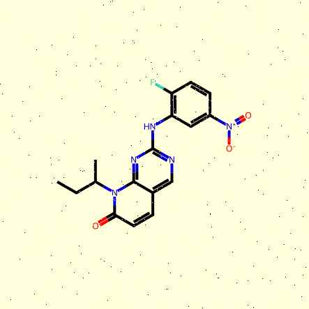 CCC(C)n1c(=O)ccc2cnc(Nc3cc([N+](=O)[O-])ccc3F)nc21